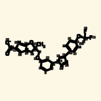 C[C@]1(COc2cccc(-n3cc(-c4ccc(OC(F)(F)F)cc4)nn3)c2)Cn2cc([N+](=O)[O-])nc2O1